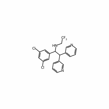 FC(F)(F)CNC(c1cc(Cl)cc(Cl)c1)C(c1cccnc1)c1cccnc1